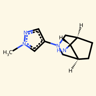 Cn1cc(N2C[C@H]3CC[C@@H](C2)[C@@H]3N)cn1